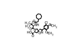 COc1cc(OC)c(C2=NO[C@]3(C2)C[C@@H](C(=O)O)N(C(=O)[C@@H](NC(=O)CC2CCCCCC2)C(C)(C)C)C3)cc1Cl